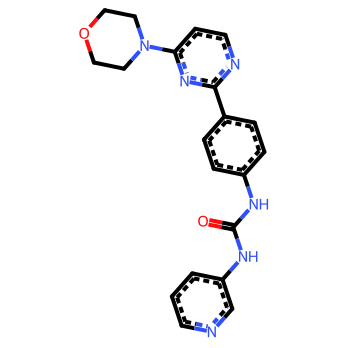 O=C(Nc1ccc(-c2nccc(N3CCOCC3)n2)cc1)Nc1cccnc1